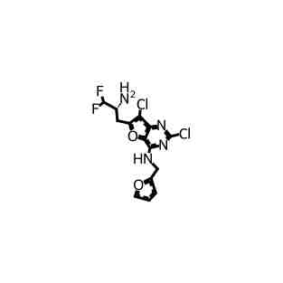 N[C@H](Cc1oc2c(NCc3ccco3)nc(Cl)nc2c1Cl)C(F)F